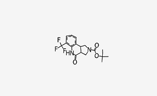 CC(C)(C)OC(=O)N1CC2C(=O)Nc3c(cccc3C(F)(F)F)C2C1